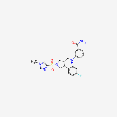 Cn1cnc(S(=O)(=O)N2CC(CNc3cccc(C(N)=O)c3)C(c3ccc(F)cc3)C2)c1